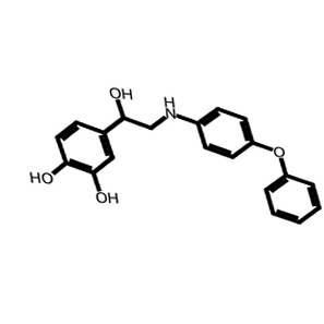 Oc1ccc(C(O)CNc2ccc(Oc3ccccc3)cc2)cc1O